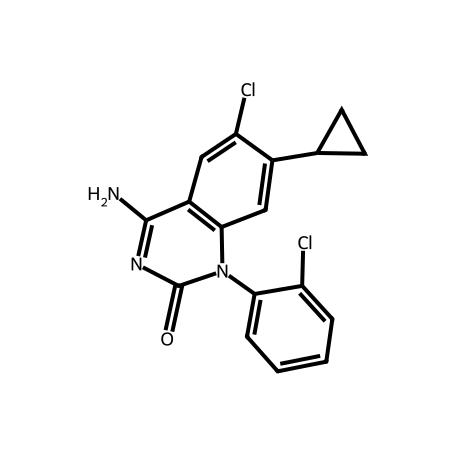 Nc1nc(=O)n(-c2ccccc2Cl)c2cc(C3CC3)c(Cl)cc12